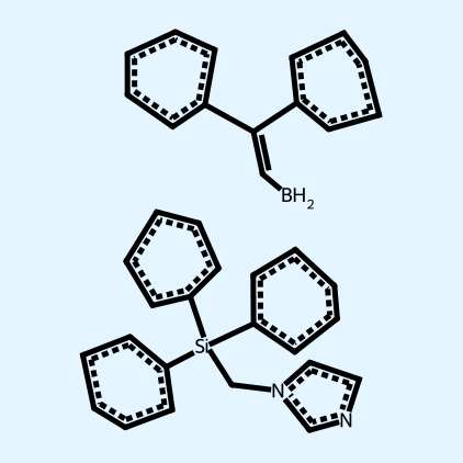 BC=C(c1ccccc1)c1ccccc1.c1ccc([Si](Cn2ccnc2)(c2ccccc2)c2ccccc2)cc1